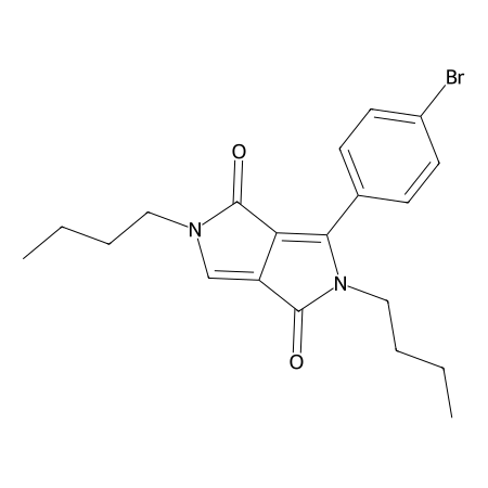 CCCCN1C=C2C(=O)N(CCCC)C(c3ccc(Br)cc3)=C2C1=O